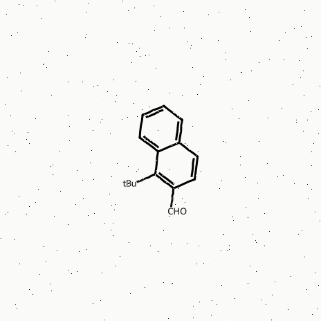 CC(C)(C)c1c(C=O)ccc2ccccc12